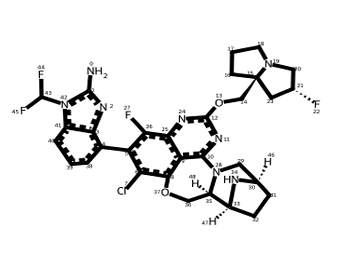 Nc1nc2c(-c3c(Cl)c4c5c(nc(OC[C@@]67CCCN6C[C@H](F)C7)nc5c3F)N3C[C@H]5CC[C@H](N5)[C@H]3CO4)cccc2n1C(F)F